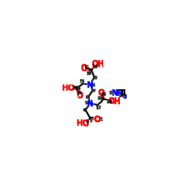 N.O=C(O)CN(CCN(CC(=O)O)CC(=O)O)CC(=O)O.[Ti]